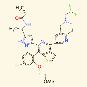 C=CC(=O)N[C@H](C)c1cc(-c2nc(-c3cnc4c(c3)CN(CC(F)F)CC4)c3ccsc3c2-c2c(F)cc(F)cc2OCCOC)n[nH]1